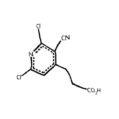 N#Cc1c(CCC(=O)O)cc(Cl)nc1Cl